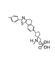 Cc1ccc(-c2nc3c(s2)-c2ccc([C@H]4CC[C@](N)(COP(=O)(O)O)C4)cc2CC3)cc1